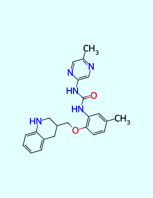 Cc1ccc(OCC2CNc3ccccc3C2)c(NC(=O)Nc2cnc(C)cn2)c1